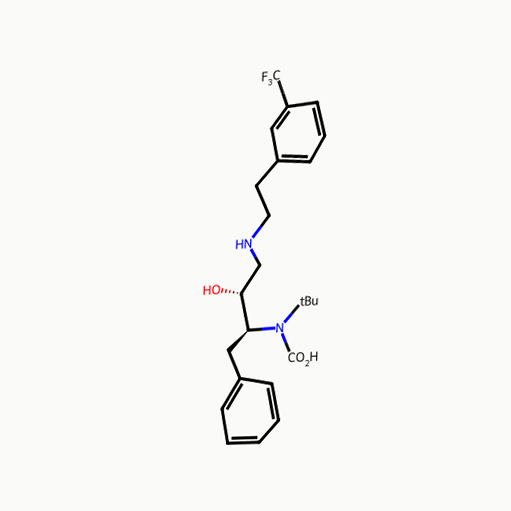 CC(C)(C)N(C(=O)O)[C@@H](Cc1ccccc1)[C@H](O)CNCCc1cccc(C(F)(F)F)c1